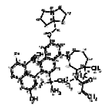 C#Cc1c(F)ccc2cc(O)cc(-c3c(C(C)(C)N)cc4c(N5CCCC(C)(C)C(N(C)C(=O)C=C)C5)nc(OCC56CCCN5CCC6)nc4c3F)c12